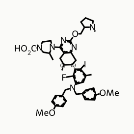 COc1ccc(CN(Cc2ccc(OC)cc2)c2cc(C)c(I)c([C@H]3Cc4nc(OCC5CCCN5C)nc(N5CCN(C(=O)O)CC5C)c4C[C@@H]3C)c2F)cc1